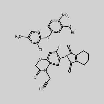 C#CCN1C(=O)COc2cc(F)c(N3C(=O)C4=C(CCCC4)C3=O)cc21.CCOc1cc(Oc2ccc(C(F)(F)F)cc2Cl)ccc1[N+](=O)[O-]